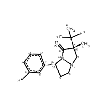 CC(F)(F)[C@]1(C)CN2CC[C@H](c3cccc(F)c3)N2C1=O